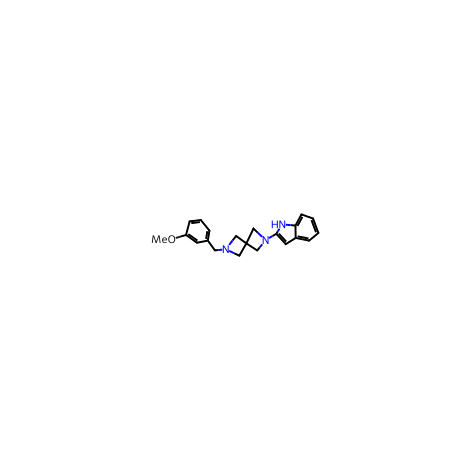 COc1cccc(CN2CC3(C2)CN(c2cc4ccccc4[nH]2)C3)c1